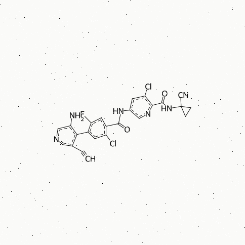 C#Cc1cncc(N)c1-c1cc(Cl)c(C(=O)Nc2cnc(C(=O)NC3(C#N)CC3)c(Cl)c2)cc1F